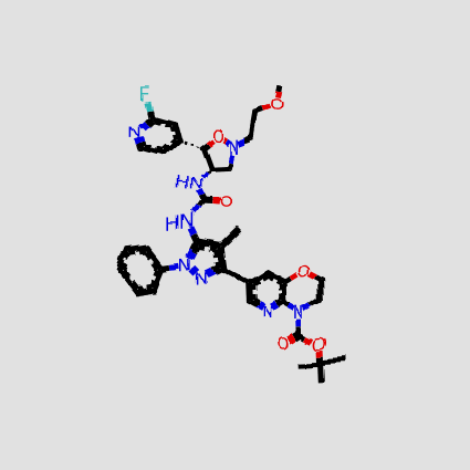 COCCN1C[C@@H](NC(=O)Nc2c(C)c(-c3cnc4c(c3)OCCN4C(=O)OC(C)(C)C)nn2-c2ccccc2)[C@H](c2ccnc(F)c2)O1